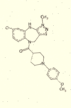 COc1ccc(N2CCC(C(=O)N3Cc4cnn(C)c4Nc4cc(Cl)ccc43)CC2)cc1